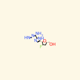 N=C/N=C(/N)c1ncc([C@@H]2O[C@H](CO)C[C@H]2F)[nH]1